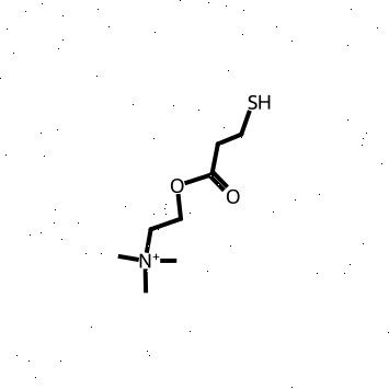 C[N+](C)(C)CCOC(=O)CCS